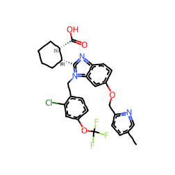 Cc1ccc(COc2ccc3nc([C@@H]4CCCC[C@@H]4C(=O)O)n(Cc4ccc(OC(F)(F)F)cc4Cl)c3c2)nc1